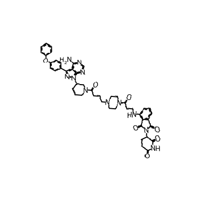 Nc1ncnc2c1c(-c1ccc(Oc3ccccc3)cc1)nn2[C@@H]1CCCN(C(=O)CCCN2CCN(C(=O)CCNc3cccc4c3C(=O)N(C3CCC(=O)NC3=O)C4=O)CC2)C1